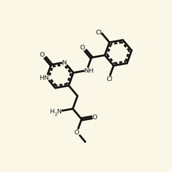 COC(=O)C(N)Cc1c[nH]c(=O)nc1NC(=O)c1c(Cl)cccc1Cl